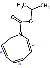 CC(C)OC(=O)N1\C=C/C=C\C=C/C1